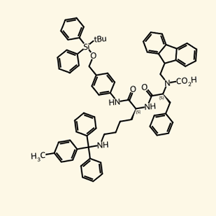 Cc1ccc(C(NCCCC[C@H](NC(=O)[C@H](Cc2ccccc2)N(CC2c3ccccc3-c3ccccc32)C(=O)O)C(=O)Nc2ccc(CO[Si](c3ccccc3)(c3ccccc3)C(C)(C)C)cc2)(c2ccccc2)c2ccccc2)cc1